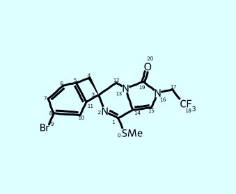 CSC1=N[C@@]2(Cc3ccc(Br)cc32)Cn2c1cn(CC(F)(F)F)c2=O